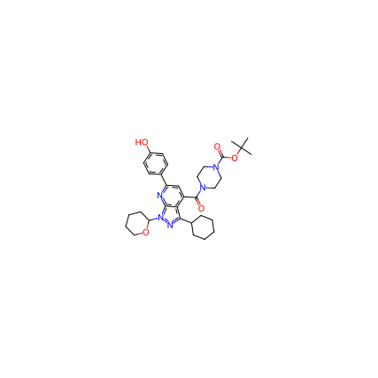 CC(C)(C)OC(=O)N1CCN(C(=O)c2cc(-c3ccc(O)cc3)nc3c2c(C2CCCCC2)nn3C2CCCCO2)CC1